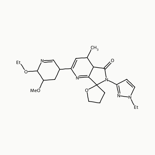 CCOC1N=CC(C2=CC(C)C3C(=O)N(c4ccn(CC)n4)C4(CCCO4)C3=N2)CC1OC